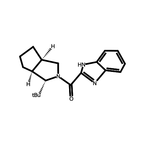 CC(C)(C)[C@@H]1[C@H]2CCC[C@H]2CN1C(=O)c1nc2ccccc2[nH]1